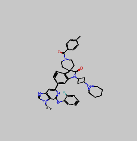 Cc1ccc(C(=O)N2CCC3(CC2)C(=O)N(C2CC(N4CCCCC4)C2)c2cc(-c4cc5ncn(C(C)C)c5c(Nc5ccccc5F)n4)ccc23)cc1